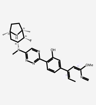 C=N/C(=C\C(=C/C)c1ccc(-c2ncc(N(C)[C@@H]3C[C@@]4(C)CC[C@](C)(N4)[C@@H]3F)nn2)c(O)c1)OC